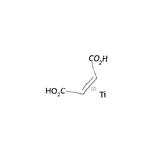 O=C(O)/C=C\C(=O)O.[Ti]